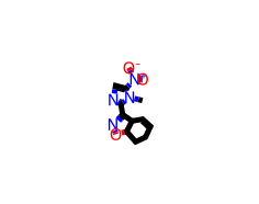 Cn1c([N+](=O)[O-])cnc1C1=NOC2CCC=CC12